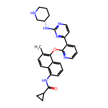 Cc1ccc2c(NC(=O)C3CC3)cccc2c1Oc1ncccc1-c1ccnc(N[C@H]2CCCNC2)n1